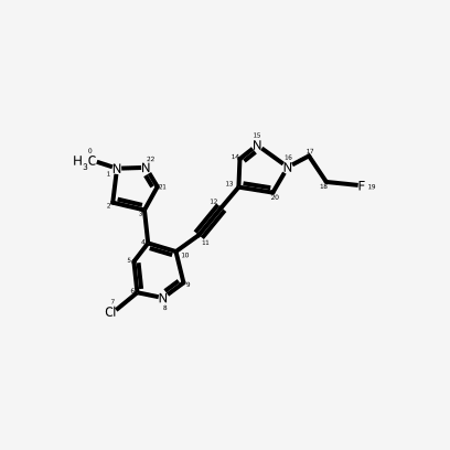 Cn1cc(-c2cc(Cl)ncc2C#Cc2cnn(CCF)c2)cn1